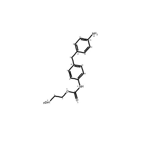 CCCCCCCCCCCCOC(=O)Nc1ccc(Cc2ccc(N)cc2)cc1